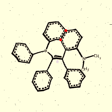 CN(C)c1ccccc1/C(=C(\B(c1ccccc1)c1ccccc1)c1ccccc1)c1ccccc1